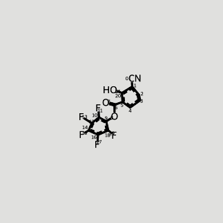 N#Cc1cccc(C(=O)Oc2c(F)c(F)c(F)c(F)c2F)c1O